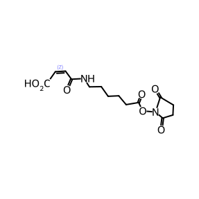 O=C(O)/C=C\C(=O)NCCCCCC(=O)ON1C(=O)CCC1=O